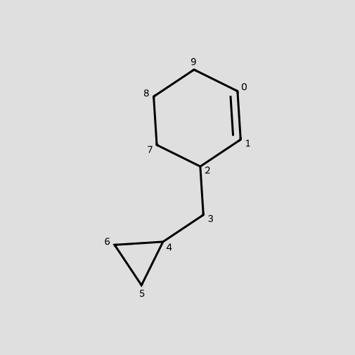 C1=CC(CC2CC2)CCC1